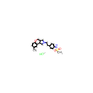 CS(=O)(=O)Nc1ccc(CCN2CC3COc4ccc(C#N)cc4C3C2)cc1.Cl